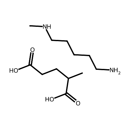 CC(CCC(=O)O)C(=O)O.CNCCCCCN